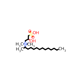 CCCCCCCCCCCCC(C)[N+](C)(C)CC(O)CS(=O)(=O)O